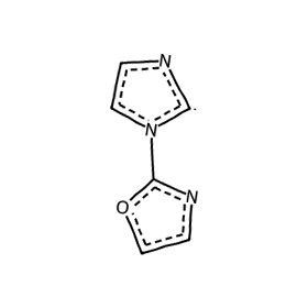 [c]1nccn1-c1ncco1